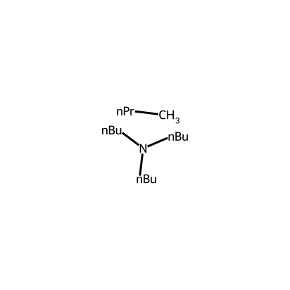 CCCC.CCCCN(CCCC)CCCC